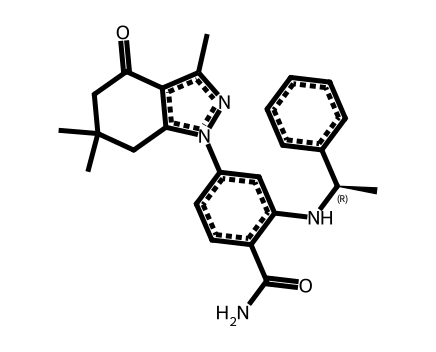 Cc1nn(-c2ccc(C(N)=O)c(N[C@H](C)c3ccccc3)c2)c2c1C(=O)CC(C)(C)C2